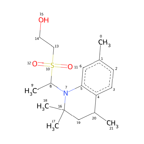 Cc1ccc2c(c1)N(C(C)S(=O)(=O)CCO)C(C)(C)CC2C